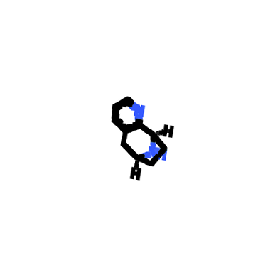 c1cnc2c(c1)C[C@@H]1CC[C@H]2N1